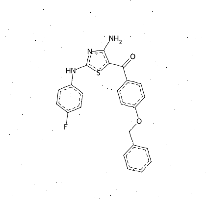 Nc1nc(Nc2ccc(F)cc2)sc1C(=O)c1ccc(OCc2ccccc2)cc1